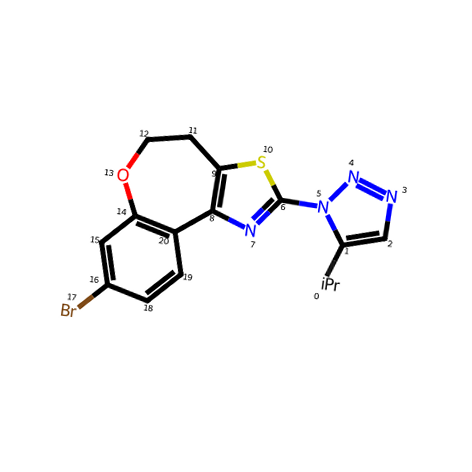 CC(C)c1cnnn1-c1nc2c(s1)CCOc1cc(Br)ccc1-2